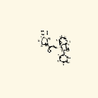 O=C(/C=C/c1c(-c2ccccc2)nc2ccccn12)N1CCC(O)C1